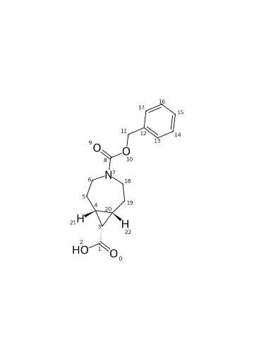 O=C(O)[C@@H]1[C@@H]2CCN(C(=O)OCc3ccccc3)CC[C@@H]21